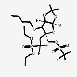 CCCCOC1[C@@H]2OC(C)(C)O[C@H]2O[C@@]1(COS(=O)(=O)C(F)(F)F)CC(F)(F)P(=O)(OCC)OCC